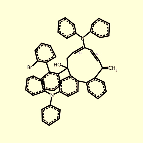 C=C1/C=C\C(N(c2ccccc2)c2ccccc2)=C/CC(O)(c2ccccc2-c2ccccc2Br)c2cc(N(c3ccccc3)c3ccccc3)ccc2-c2ccccc21